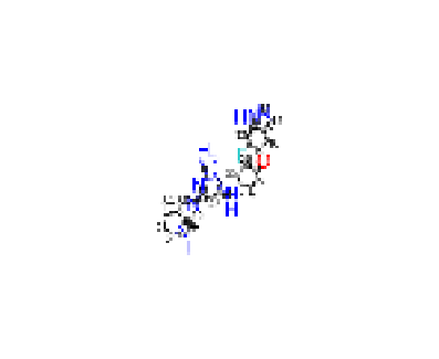 Nc1nc(Nc2ccc(Oc3ccc4[nH]ncc4c3)c(F)c2)cc(N2C[C@H]3CCCN[C@H]3C2)n1